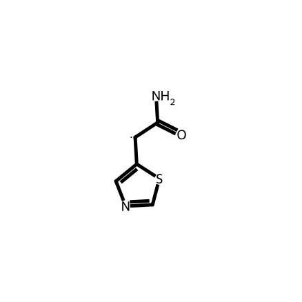 NC(=O)[CH]c1cncs1